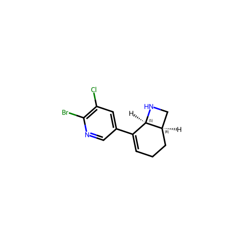 Clc1cc(C2=CCC[C@@H]3CN[C@H]23)cnc1Br